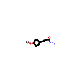 COc1ccc(C#CC(N)=O)cc1